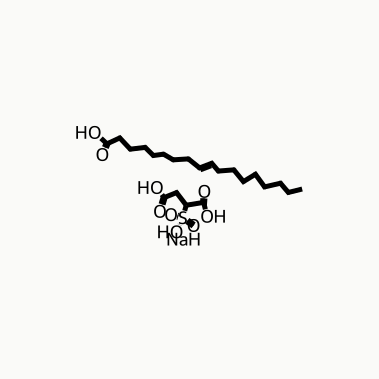 CCCCCCCCC=CCCCCCCCC(=O)O.O=C(O)CC(C(=O)O)S(=O)(=O)O.[NaH]